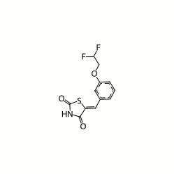 O=C1NC(=O)C(=Cc2cccc(OCC(F)F)c2)S1